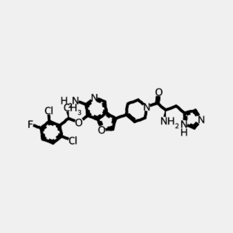 C[C@@H](Oc1c(N)ncc2c(C3=CCN(C(=O)[C@H](N)Cc4cnc[nH]4)CC3)coc12)c1c(Cl)ccc(F)c1Cl